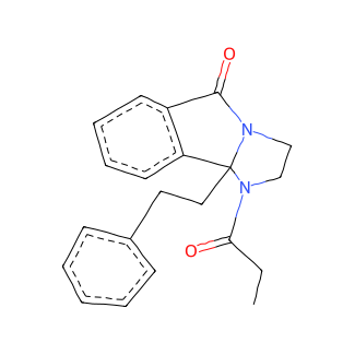 CCC(=O)N1CCN2C(=O)c3ccccc3C12CCc1ccccc1